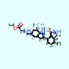 CCOC(=O)CNCc1ccc2[nH]c(-c3ccc(Cl)c4c3C(=O)NC4)cc2c1.Cl